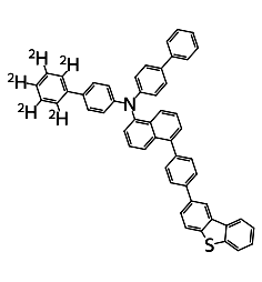 [2H]c1c([2H])c([2H])c(-c2ccc(N(c3ccc(-c4ccccc4)cc3)c3cccc4c(-c5ccc(-c6ccc7sc8ccccc8c7c6)cc5)cccc34)cc2)c([2H])c1[2H]